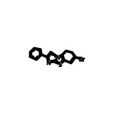 BrC1=Cc2sc3nc(-c4ccccc4)cn3c2CC1